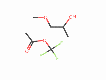 CC(=O)OC(F)(F)F.COCC(C)O